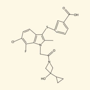 Cc1c(Sc2cccc(C(=O)O)c2)c2ccc(Cl)c(F)c2n1CC(=O)N1CC(O)(C2CC2)C1